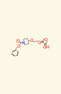 O=C(OCc1ccccc1)N1CCC(OCCO[C@H]2COC[C@@H]2O)CC1